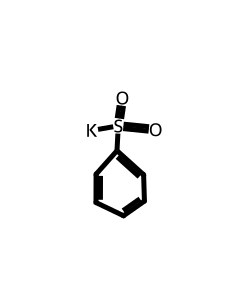 O=[S](=O)([K])c1ccccc1